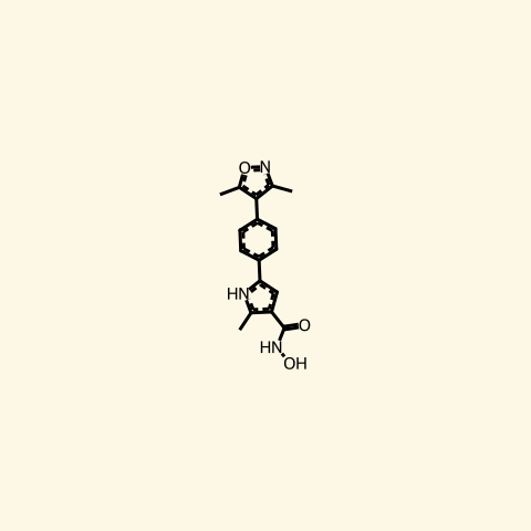 Cc1noc(C)c1-c1ccc(-c2cc(C(=O)NO)c(C)[nH]2)cc1